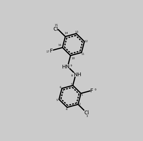 Fc1c(Cl)cccc1NNc1cccc(Cl)c1F